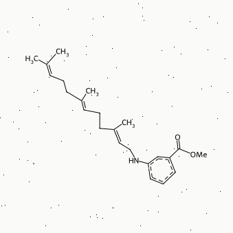 COC(=O)c1cccc(NC/C=C(\C)CC/C=C(\C)CCC=C(C)C)c1